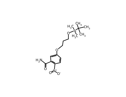 CC(C)(C)[Si](C)(C)OCCCOc1ccc([N+](=O)[O-])c(C(N)=O)c1